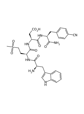 CS(=O)(=O)CC[C@H](NC(=O)[C@H](N)Cc1c[nH]c2ccccc12)C(=O)N[C@@H](CC(=O)O)C(=O)N[C@@H](Cc1ccc(C#N)cc1)C(N)=O